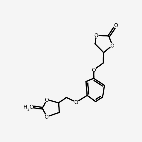 C=C1OCC(COc2cccc(OCC3COC(=O)O3)c2)O1